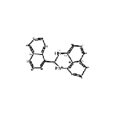 c1ccc2c(C3Nc4cccc5cccc(c45)N3)cccc2c1